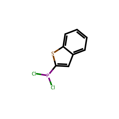 ClP(Cl)c1cc2ccccc2s1